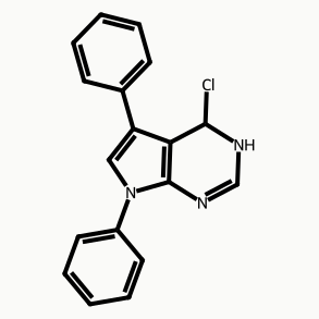 ClC1NC=Nc2c1c(-c1ccccc1)cn2-c1ccccc1